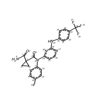 NC(=O)C1(C(=O)N(c2ccc(F)cc2)c2ccnc(Nc3ccc(C(F)(F)F)cc3)n2)CC1